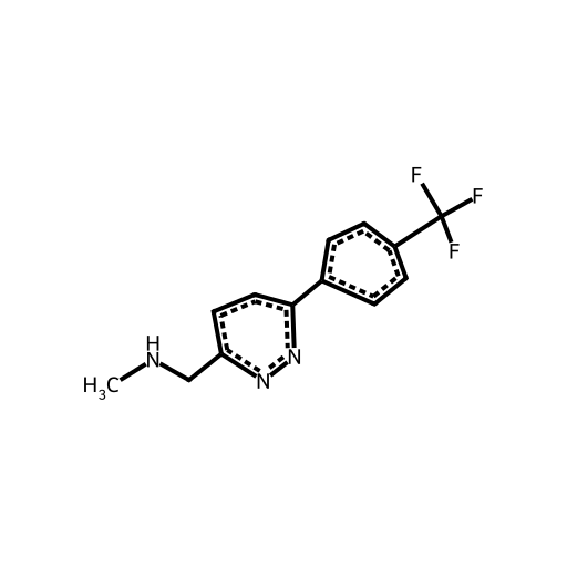 CNCc1ccc(-c2ccc(C(F)(F)F)cc2)nn1